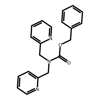 O=C(OCc1ccccc1)N(Cc1ccccn1)Cc1ccccn1